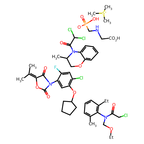 CC(C)=C1OC(=O)N(c2cc(OC3CCCC3)c(Cl)cc2F)C1=O.CC1COc2ccccc2N1C(=O)C(Cl)Cl.CCOCN(C(=O)CCl)c1c(C)cccc1CC.C[S+](C)C.O=C(O)CNCP(=O)([O-])O